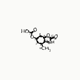 Cc1cc(OC(=O)O)cc2oc(=O)[nH]c12